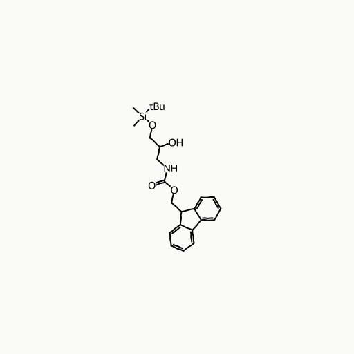 CC(C)(C)[Si](C)(C)OCC(O)CNC(=O)OCC1c2ccccc2-c2ccccc21